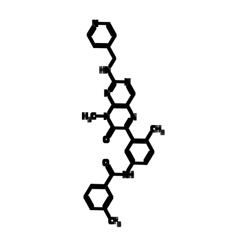 Cc1ccc(NC(=O)c2cccc(C(F)(F)F)c2)cc1-c1nc2cnc(NCc3ccncc3)nc2n(C)c1=O